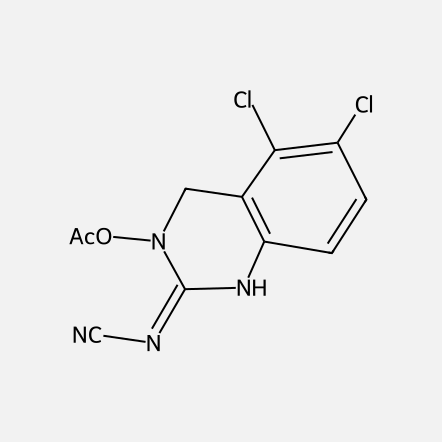 CC(=O)ON1Cc2c(ccc(Cl)c2Cl)NC1=NC#N